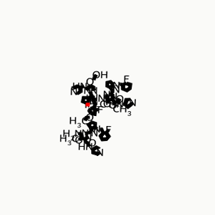 CCOc1cc(F)c(Cn2nc(-c3ncc(OCCO)c(Nc4ccncc4)n3)c3c2CCC3)c(F)c1.COc1c(N)nc(-c2nn(Cc3ccccc3F)c3c2CCC3)nc1C(OC)C(=O)Nc1ccncc1.COc1c(N)nc(-c2nn(Cc3ccccc3F)c3c2CCC3)nc1CC(=O)Nc1ccncc1